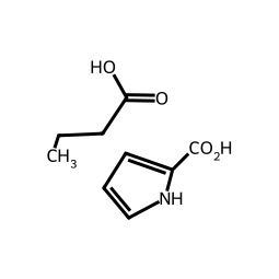 CCCC(=O)O.O=C(O)c1ccc[nH]1